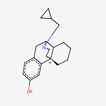 Oc1ccc2c(c1)[C@@]13CCCCC1C(C2)N(CC1CC1)CC3